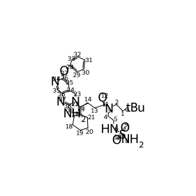 CC(C)(C)CCN(CCNS(N)(=O)=O)C(=O)CC[C@@H](C1CCCCC1)N1Cc2cc(Oc3ccccc3)ncc2N=C1N